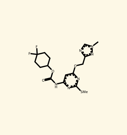 CSc1nc(NC(=O)OC2CCC(F)(F)CC2)cc(OCc2ncn(C)n2)n1